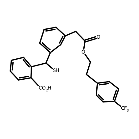 O=C(Cc1cccc(C(S)c2ccccc2C(=O)O)c1)OCCc1ccc(C(F)(F)F)cc1